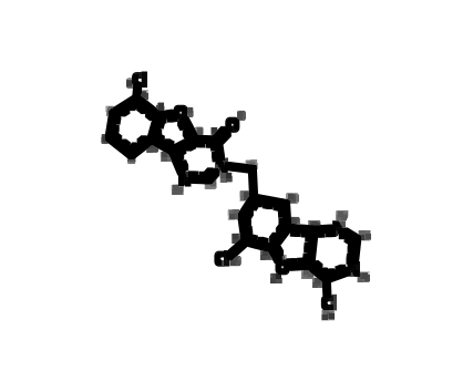 O=c1c2oc3c(Cl)cccc3c2ncn1Cc1cc(Cl)c2oc3c(Cl)ncnc3c2c1